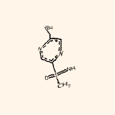 CC(C)(C)c1cnc(S(C)(=N)=O)cn1